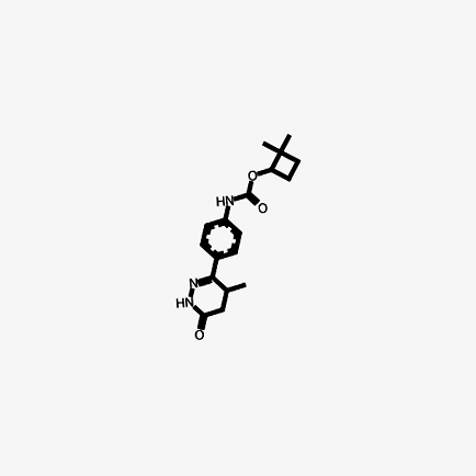 CC1CC(=O)NN=C1c1ccc(NC(=O)OC2CCC2(C)C)cc1